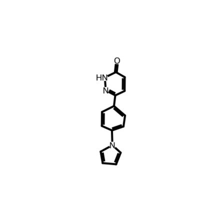 O=c1ccc(-c2ccc(-n3cccc3)cc2)n[nH]1